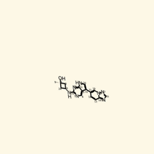 C[C@]1(O)C[C@@H](Nc2ncc3c(-c4ccc5ncnn5c4)c[nH]c3n2)C1